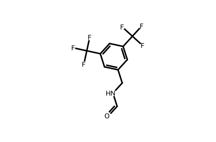 O=CNCc1cc(C(F)(F)F)cc(C(F)(F)F)c1